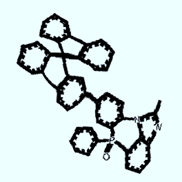 Cc1nc2cccc3c2n1-c1ccc(-c2ccc4c(c2)C2(c5ccccc5-c5ccccc52)c2ccccc2-4)cc1P3(=O)c1ccccc1